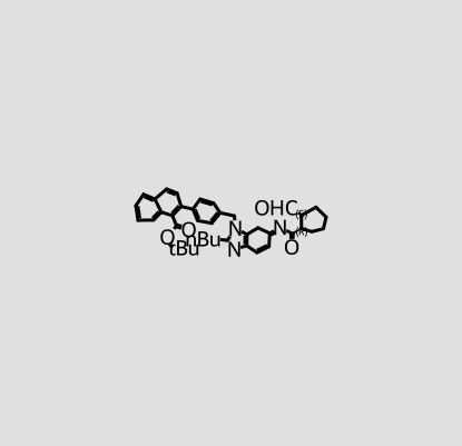 CCCCc1nc2c(n1Cc1ccc(-c3ccc4ccccc4c3C(=O)OC(C)(C)C)cc1)CC(=NC(=O)[C@@H]1CCCC[C@@H]1C=O)C=C2